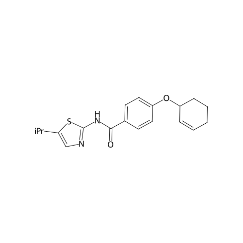 CC(C)c1cnc(NC(=O)c2ccc(OC3C=CCCC3)cc2)s1